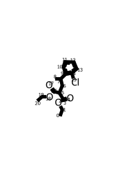 CCOC(=O)C(CC(C)c1ccccc1Cl)C(=O)OCC